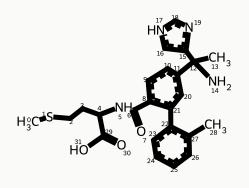 CSCCC(NC(=O)c1ccc(C(C)(N)c2c[nH]cn2)cc1-c1ccccc1C)C(=O)O